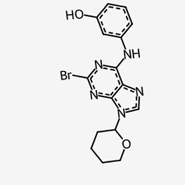 Oc1cccc(Nc2nc(Br)nc3c2ncn3C2CCCCO2)c1